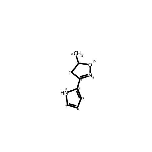 CC1CC(c2ccc[nH]2)=NO1